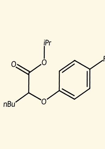 CCCCC(Oc1ccc(F)cc1)C(=O)OC(C)C